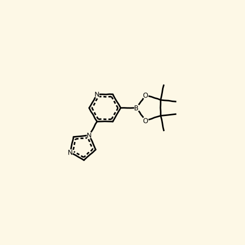 CC1(C)OB(c2cncc(-n3ccnc3)c2)OC1(C)C